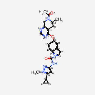 CC(=O)N1Cc2ncnc(Oc3ccc4c(ccn4C(=O)Nc4cc(C5CC5)n(C)n4)c3)c2C[C@@H]1C